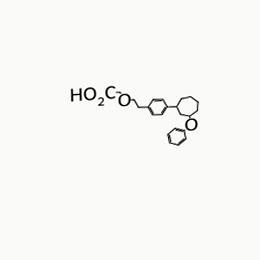 O=C(O)COCCc1ccc(C2CCCCC(Oc3ccccc3)C2)cc1